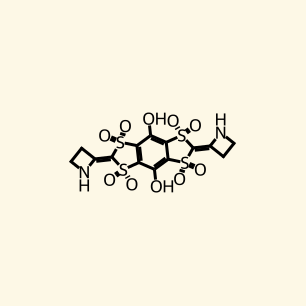 O=S1(=O)C(=C2CCN2)S(=O)(=O)c2c(O)c3c(c(O)c21)S(=O)(=O)C(=C1CCN1)S3(=O)=O